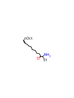 [CH2]CC(N)C(=O)CCCCCCC/C=C\CCCCCCCC